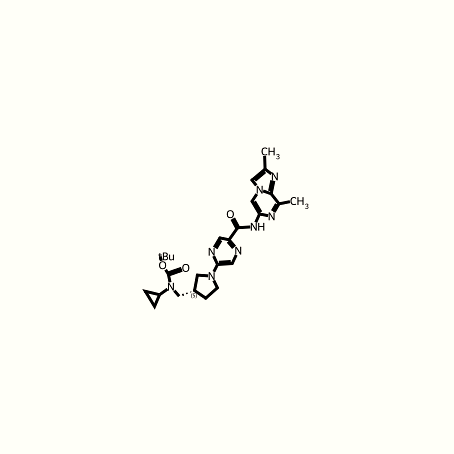 Cc1cn2cc(NC(=O)c3cnc(N4CC[C@H](CN(C(=O)OC(C)(C)C)C5CC5)C4)cn3)nc(C)c2n1